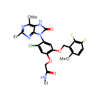 CCNC(=O)COc1cc(Cl)c(-n2c(=O)[nH]c3c(OC)nc(CC)nc32)cc1OCc1c(OC)ccc(F)c1F